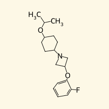 CC(C)OC1CCC(N2CC(Oc3ccccc3F)C2)CC1